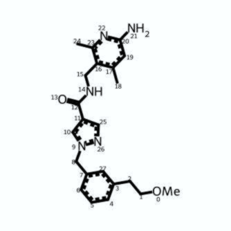 COCCc1cccc(Cn2cc(C(=O)NCc3c(C)cc(N)nc3C)cn2)c1